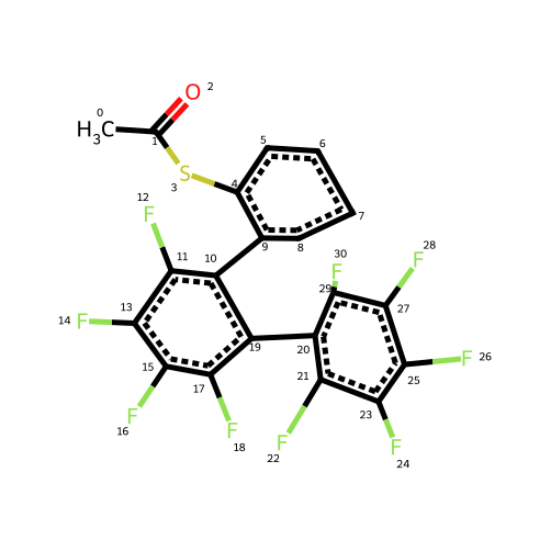 CC(=O)Sc1ccccc1-c1c(F)c(F)c(F)c(F)c1-c1c(F)c(F)c(F)c(F)c1F